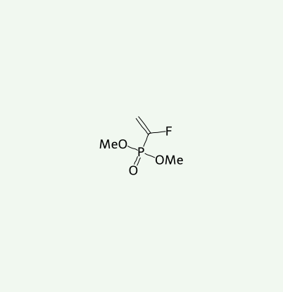 C=C(F)P(=O)(OC)OC